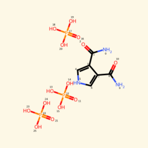 NC(=O)c1c[nH]cc1C(N)=O.O=P(O)(O)O.O=P(O)(O)O.O=P(O)(O)O